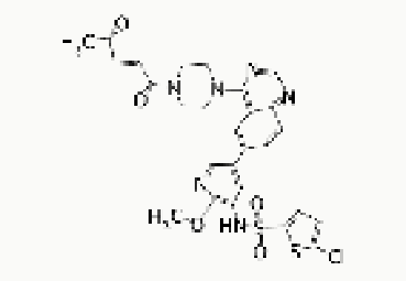 COc1ncc(-c2ccc3ncnc(N4CCN(C(=O)/C=C/C(C)=O)CC4)c3c2)cc1NS(=O)(=O)c1ccc(Cl)s1